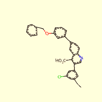 Cc1cc(Cl)cc(-c2cnc3ccc(-c4cccc(OCc5ccccc5)c4)cc3c2C(=O)O)c1